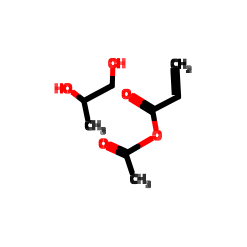 C=CC(=O)OC(C)=O.CC(O)CO